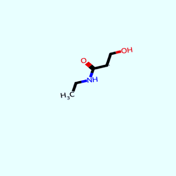 CCNC(=O)[CH]CO